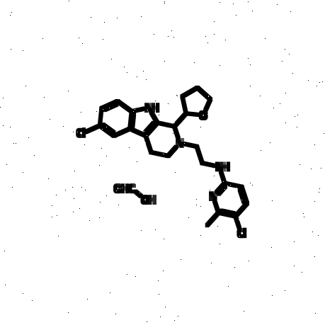 Cc1nc(NCCN2CCc3c([nH]c4ccc(Cl)cc34)C2C2CCCO2)ccc1Cl.O=CO